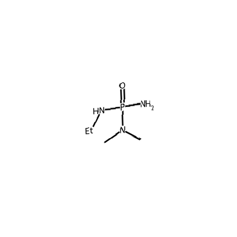 CCNP(N)(=O)N(C)C